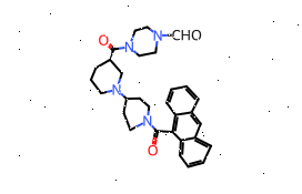 O=CN1CCN(C(=O)[C@@H]2CCCN(C3CCN(C(=O)c4c5ccccc5cc5ccccc45)CC3)C2)CC1